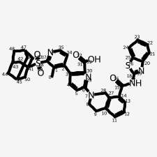 Cc1c(-c2ccc(N3CCc4cccc(C(=O)Nc5nc6ccccc6s5)c4C3)nc2C(=O)O)ccnc1S(=O)(=O)C12CC3CC(CC(C3)C1)C2